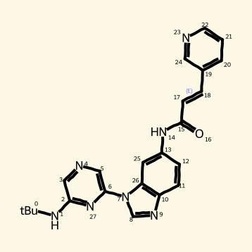 CC(C)(C)Nc1cncc(-n2cnc3ccc(NC(=O)/C=C/c4cccnc4)cc32)n1